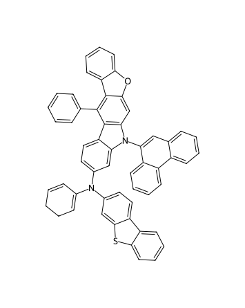 C1=CC(N(c2ccc3c(c2)sc2ccccc23)c2ccc3c4c(-c5ccccc5)c5c(cc4n(-c4cc6ccccc6c6ccccc46)c3c2)oc2ccccc25)=CCC1